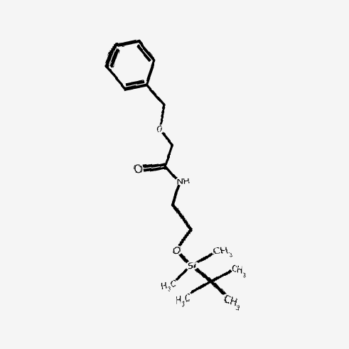 CC(C)(C)[Si](C)(C)OCCNC(=O)COCc1ccccc1